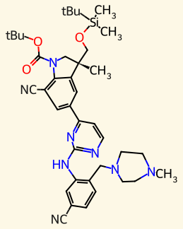 CN1CCN(Cc2ccc(C#N)cc2Nc2nccc(-c3cc(C#N)c4c(c3)[C@@](C)(CO[Si](C)(C)C(C)(C)C)CN4C(=O)OC(C)(C)C)n2)CC1